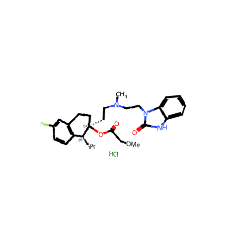 COCC(=O)O[C@]1(CCN(C)CCn2c(=O)[nH]c3ccccc32)CCc2cc(F)ccc2[C@@H]1C(C)C.Cl